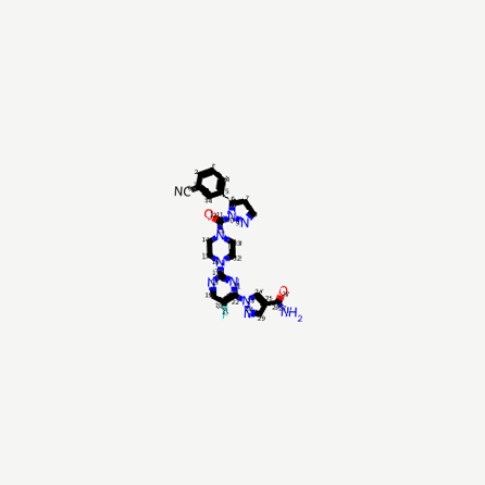 N#Cc1cccc([C@@H]2CC=NN2C(=O)N2CCN(c3ncc(F)c(-n4cc(C(N)=O)cn4)n3)CC2)c1